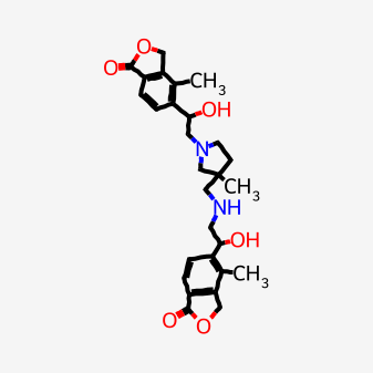 Cc1c(C(O)CNCC2(C)CCN(CC(O)c3ccc4c(c3C)COC4=O)C2)ccc2c1COC2=O